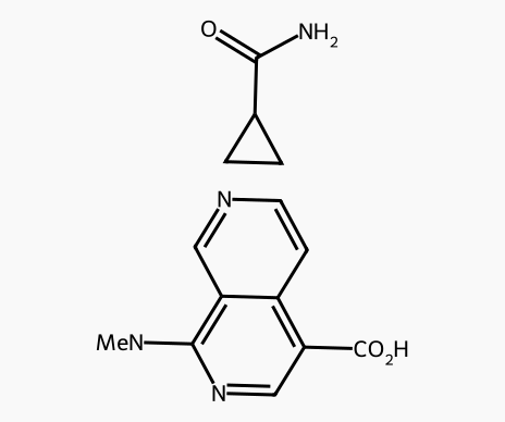 CNc1ncc(C(=O)O)c2ccncc12.NC(=O)C1CC1